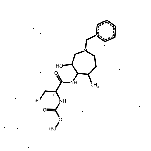 CC(C)C[C@H](NC(=O)OC(C)(C)C)C(=O)NC1C(C)CCN(Cc2ccccc2)CC1O